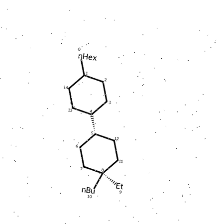 CCCCCCC1CCC([C@H]2CC[C@](CC)(CCCC)CC2)CC1